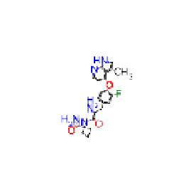 Cc1c[nH]c2nccc(Oc3ccc(CC(N)C(=O)NC4(C(N)=O)CCC4)cc3F)c12